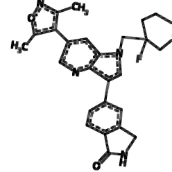 Cc1noc(C)c1-c1cnc2c(-c3ccc4c(c3)CNC4=O)cn(CC3(F)CCCCC3)c2c1